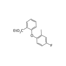 CCOC(=O)c1ccccc1Oc1ccc(F)cc1C